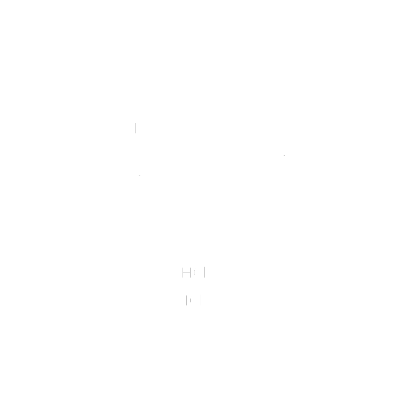 CC(C)(C)c1cccc([O][Ti][F])c1.Cl.Cl